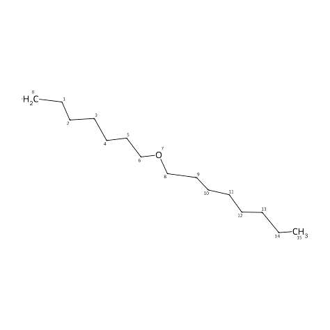 [CH2]CCCCCCOCCCCCCCC